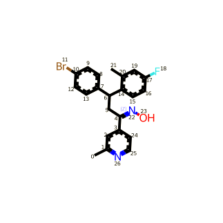 Cc1cc(/C(CC(c2ccc(Br)cc2)c2ccc(F)cc2C)=N\O)ccn1